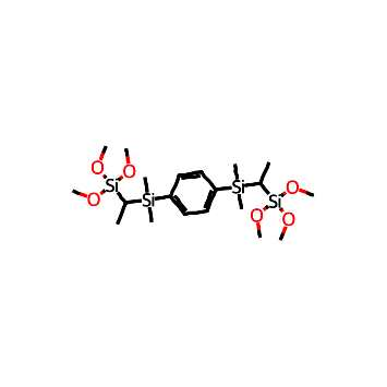 CO[Si](OC)(OC)C(C)[Si](C)(C)c1ccc([Si](C)(C)C(C)[Si](OC)(OC)OC)cc1